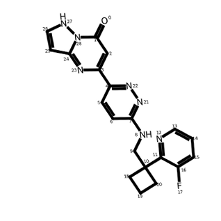 O=c1cc(-c2ccc(NCC3(c4ncccc4F)CCC3)nn2)nc2cc[nH]n12